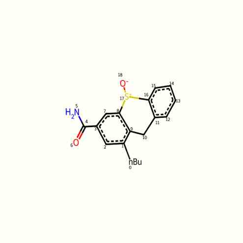 CCCCc1cc(C(N)=O)cc2c1Cc1ccccc1[S+]2[O-]